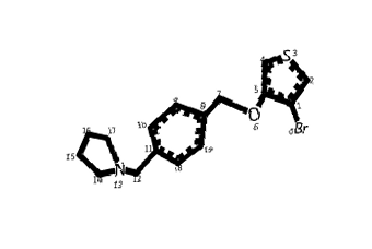 Brc1cscc1OCc1ccc(CN2CCCC2)cc1